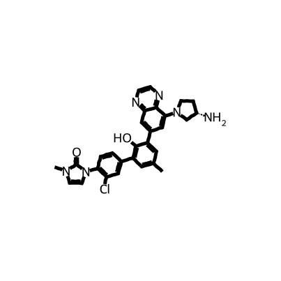 Cc1cc(-c2ccc(-n3ccn(C)c3=O)c(Cl)c2)c(O)c(-c2cc(N3CC[C@H](N)C3)c3nccnc3c2)c1